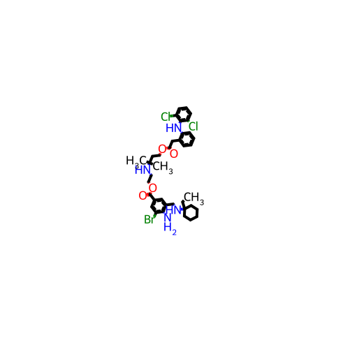 CCC1(NCc2cc(C(=O)OCCNC(C)(C)CCOC(=O)Cc3ccccc3Nc3c(Cl)cccc3Cl)cc(Br)c2N)CCCCC1